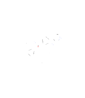 CCn1c2cnccc2c2ccc(C(=O)NC(C)c3cccc(OC)c3)cc21